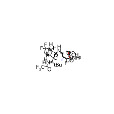 CC(C)(C)[C@@H](NC(=O)C(F)(F)F)C(=O)N1[C@@H]2CC[C@H]([C@@H]1C(=O)N[C@@H](/C=C(/F)S(C)(=O)=O)C[C@H]1CCNC1=O)C(F)(F)C2